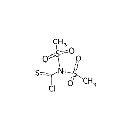 CS(=O)(=O)N(C(=S)Cl)S(C)(=O)=O